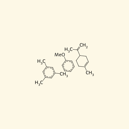 C=C(C)C1CC=C(C)CC1.COc1ccccc1.Cc1cc(C)cc(C)c1